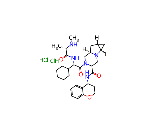 CN[C@@H](C)C(=O)N[C@H](C(=O)N1C[C@H]2C[C@@H]3C[C@@H]3N2C[C@H]1C(=O)N[C@@H]1CCOc2ccccc21)C1CCCCC1.Cl.Cl